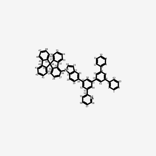 c1ccc(-c2cc(-c3ccccc3)cc(-c3cc(-c4ccc5c(ccn5-c5cccc6c5-c5ccccc5C65c6ccccc6-c6ccccc65)c4)cc(-c4ccccn4)c3)c2)cc1